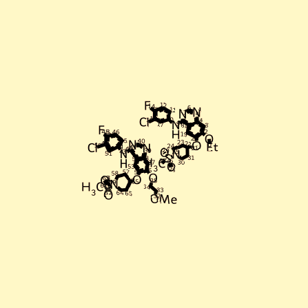 CCOc1cc2ncnc(Nc3ccc(F)c(Cl)c3)c2cc1OC1CCN(S(C)(=O)=O)CC1.COCCOc1cc2ncnc(Nc3ccc(F)c(Cl)c3)c2cc1OC1CCN(S(C)(=O)=O)CC1